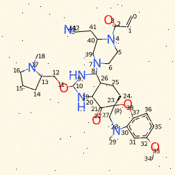 C=CC(=O)N1CCN(C2NC(OCC3CCCN3C)NC3C(=O)[C@@]4(CCC32)CN(C)c2cc(OC)ccc2O4)CC1CC#N